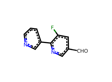 O=Cc1cnc(-c2cccnc2)c(F)c1